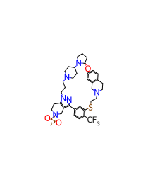 CS(=O)(=O)N1CCc2c(c(-c3ccc(C(F)(F)F)c(SCCN4CCc5ccccc5C4)c3)nn2CCCN2CCC(N3CCCC3=O)CC2)C1